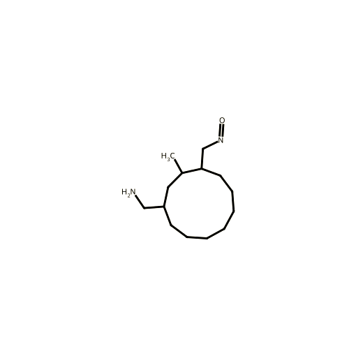 CC1CC(CN)CCCCCCCC1CN=O